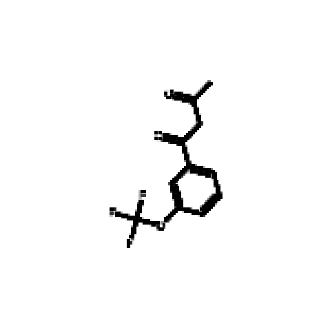 CC(=O)CC(=O)c1cccc(OC(F)(F)F)c1